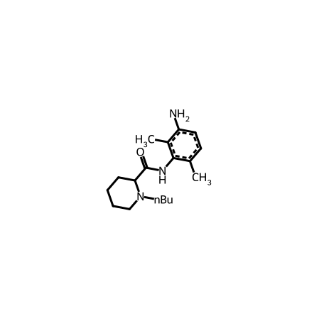 CCCCN1CCCCC1C(=O)Nc1c(C)ccc(N)c1C